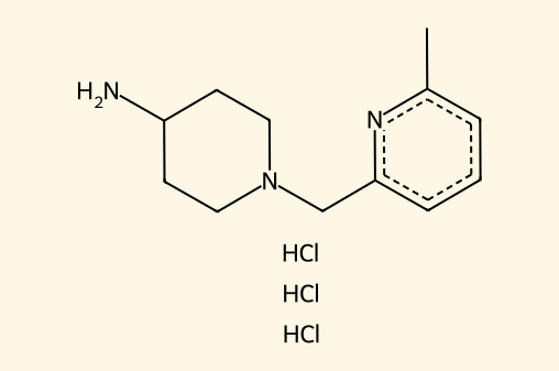 Cc1cccc(CN2CCC(N)CC2)n1.Cl.Cl.Cl